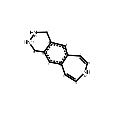 C1=Cc2cc3c(cc2C=CN1)CNNC3